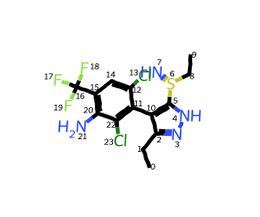 CCc1n[nH]c(S(=N)CC)c1-c1c(Cl)cc(C(F)(F)F)c(N)c1Cl